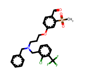 CS(=O)(=O)c1cc(OCCCN(Cc2ccccc2)Cc2cccc(C(F)(F)F)c2Cl)ccc1C=O